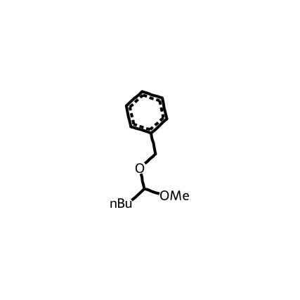 CCCCC(OC)OCc1ccccc1